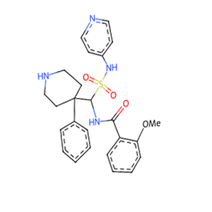 COc1ccccc1C(=O)NC(C1(c2ccccc2)CCNCC1)S(=O)(=O)Nc1ccncc1